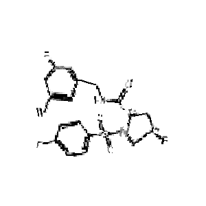 O=C(NCc1cc(F)cc(Br)c1)[C@@H]1C[C@@H](F)CN1S(=O)(=O)c1ccc(F)cc1